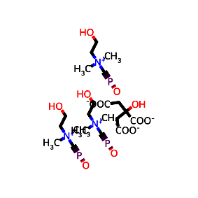 C[N+](C)(C#P=O)CCO.C[N+](C)(C#P=O)CCO.C[N+](C)(C#P=O)CCO.O=C([O-])CC(O)(CC(=O)[O-])C(=O)[O-]